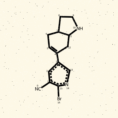 N#Cc1cc(C2=CCC3CCNC3C2)cnc1Br